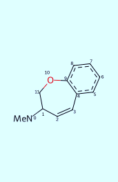 CNC1C=Cc2ccccc2OC1